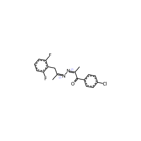 C/C(Cc1c(F)cccc1F)=N/N=C(/C)C(=O)c1ccc(Cl)cc1